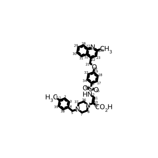 Cc1ccc(CN2CCN(/C(=C\NS(=O)(=O)c3ccc(OCc4cc(C)nc5ccccc45)cc3)C(=O)O)CC2)cc1